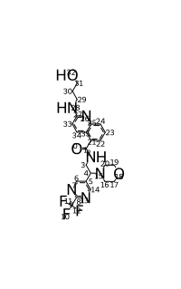 O=C(NCC(c1cnc(C(F)(F)F)nc1)N1CCOCC1)c1cccc2nc(NCCCO)ccc12